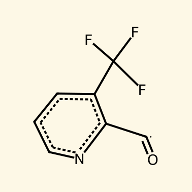 O=[C]c1ncccc1C(F)(F)F